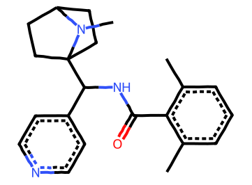 Cc1cccc(C)c1C(=O)NC(c1ccncc1)C12CCC(CC1)N2C